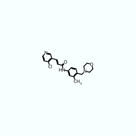 Cc1cc(NC(=O)C=Cc2cnccc2Cl)ccc1CN1CCOCC1